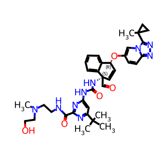 CN(CCO)CCNC(=O)c1nc(NC(=O)N[C@@]2(C=O)C=C[C@@H](Oc3ccc4nnc(C5(C)CC5)n4c3)c3ccccc32)cc(C(C)(C)C)n1